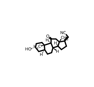 C[C@]12CC[C@@H](O)C[C@@H]1CC[C@@H]1[C@@H]2C(=O)C[C@]2(C)/C(=C\C#N)CC[C@@H]12